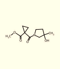 COC(=O)C1(C(=O)N2CCC(C)(O)C2)CC1